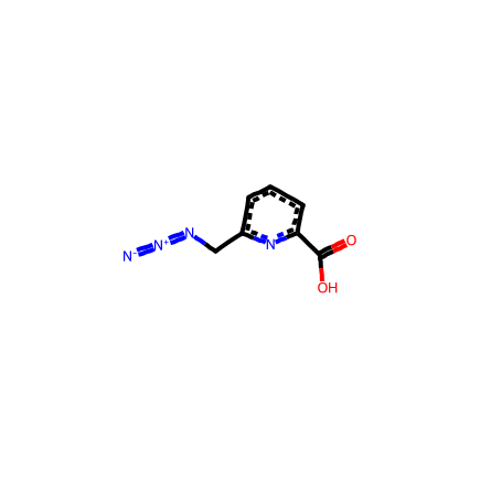 [N-]=[N+]=NCc1cccc(C(=O)O)n1